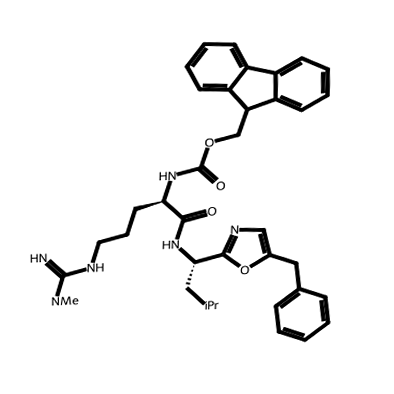 CNC(=N)NCCC[C@@H](NC(=O)OCC1c2ccccc2-c2ccccc21)C(=O)N[C@@H](CC(C)C)c1ncc(Cc2ccccc2)o1